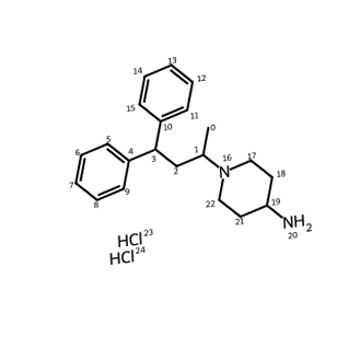 CC(CC(c1ccccc1)c1ccccc1)N1CCC(N)CC1.Cl.Cl